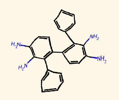 Nc1ccc(-c2ccc(N)c(N)c2-c2ccccc2)c(-c2ccccc2)c1N